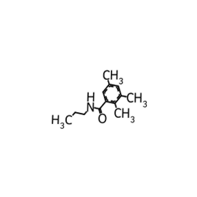 CCCNC(=O)c1cc(C)cc(C)c1C